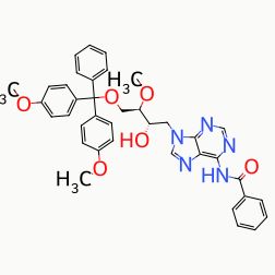 COc1ccc(C(OC[C@@H](OC)[C@@H](O)Cn2cnc3c(NC(=O)c4ccccc4)ncnc32)(c2ccccc2)c2ccc(OC)cc2)cc1